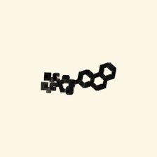 CC1(C)COB(c2ccc3c(ccc4ccccc43)c2)O1